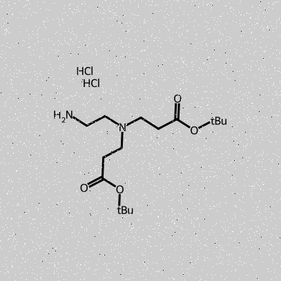 CC(C)(C)OC(=O)CCN(CCN)CCC(=O)OC(C)(C)C.Cl.Cl